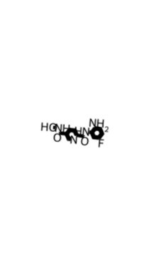 Nc1ccc(F)cc1NC(=O)c1ccc(C(=O)NO)cn1